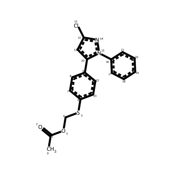 CC(=O)OCSc1ccc(-c2cc(Cl)nn2-c2ccccc2)cc1